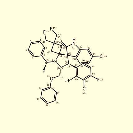 C[C@@H](c1ccccc1)N1[C@@H](COc2ccccc2)[C@H](c2ccc(F)c(Cl)c2F)[C@@]2(C(=O)Nc3cc(Cl)ccc32)C12CC(CF)(CF)C2